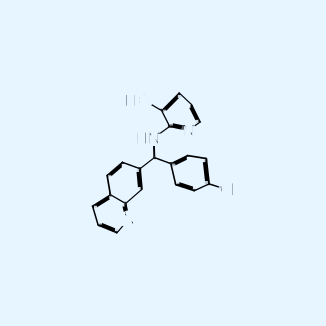 Oc1cccnc1NC(c1ccc(Cl)cc1)c1ccc2cccnc2c1